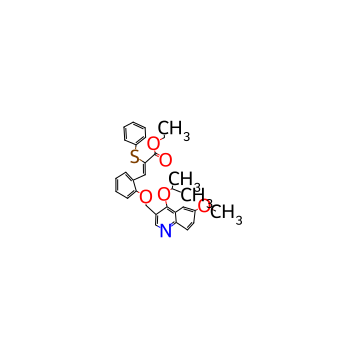 CCOC(=O)C(=Cc1ccccc1OCc1cnc2ccc(OC)cc2c1OC(C)C)Sc1ccccc1